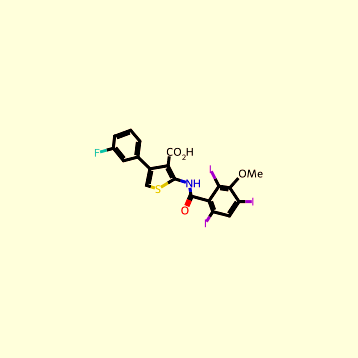 COc1c(I)cc(I)c(C(=O)Nc2scc(-c3cccc(F)c3)c2C(=O)O)c1I